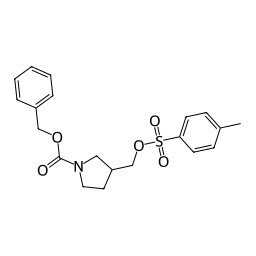 Cc1ccc(S(=O)(=O)OCC2CCN(C(=O)OCc3ccccc3)C2)cc1